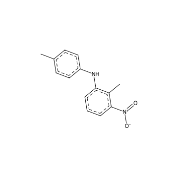 Cc1ccc(Nc2cccc([N+](=O)[O-])c2C)cc1